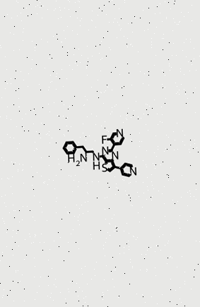 N[C@H](CNc1nc(-c2ccncc2F)nc2c(-c3ccncc3)csc12)Cc1ccccc1